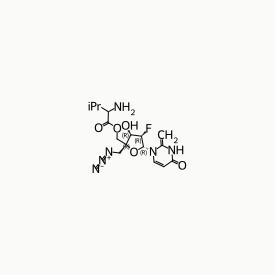 C=C1NC(=O)C=CN1[C@@H]1O[C@](CN=[N+]=[N-])(COC(=O)C(N)C(C)C)[C@@H](O)[C@H]1F